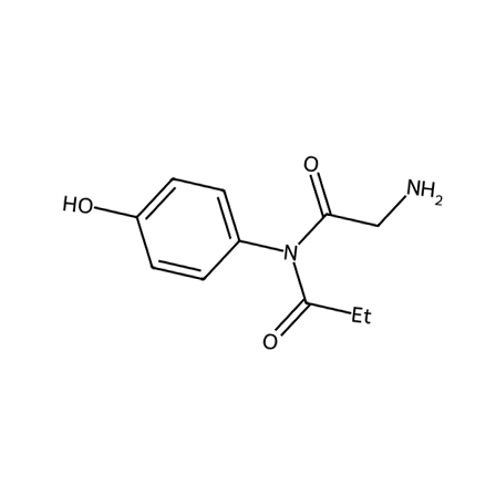 CCC(=O)N(C(=O)CN)c1ccc(O)cc1